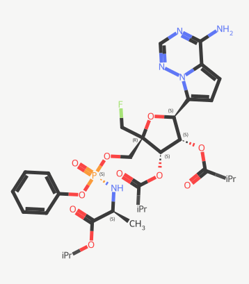 CC(C)OC(=O)[C@H](C)N[P@](=O)(OC[C@@]1(CF)O[C@@H](c2ccc3c(N)ncnn23)[C@H](OC(=O)C(C)C)[C@@H]1OC(=O)C(C)C)Oc1ccccc1